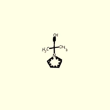 C#CC(C)(C)n1cccc1